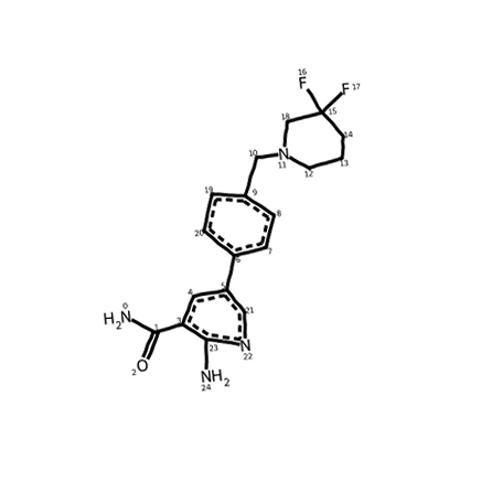 NC(=O)c1cc(-c2ccc(CN3CCCC(F)(F)C3)cc2)cnc1N